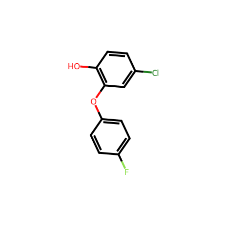 Oc1ccc(Cl)cc1Oc1ccc(F)cc1